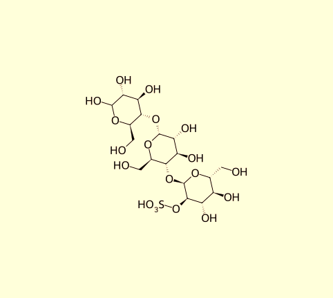 O=S(=O)(O)O[C@H]1[C@@H](O[C@H]2[C@H](O)[C@@H](O)[C@@H](O[C@H]3[C@H](O)[C@@H](O)C(O)O[C@@H]3CO)O[C@@H]2CO)O[C@H](CO)[C@@H](O)[C@@H]1O